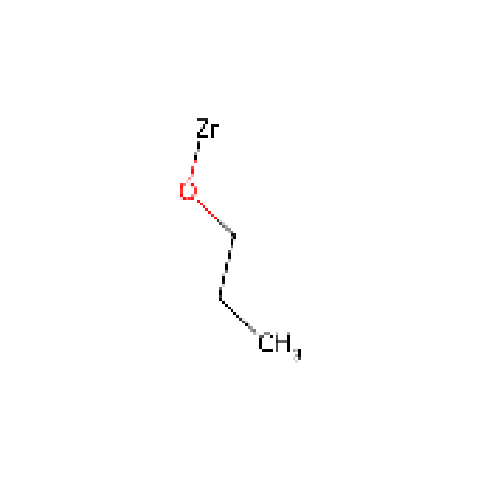 CCC[O][Zr]